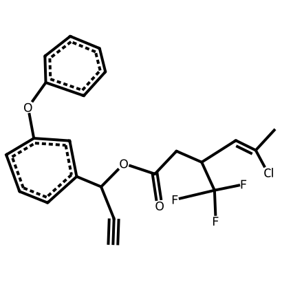 C#CC(OC(=O)CC(C=C(C)Cl)C(F)(F)F)c1cccc(Oc2ccccc2)c1